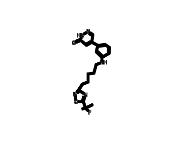 CC(C)(F)c1nc(CCCCCNc2cccc(-c3cn[nH]c(=O)c3)c2)no1